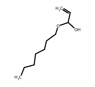 C=CC(O)OCCCCCCC